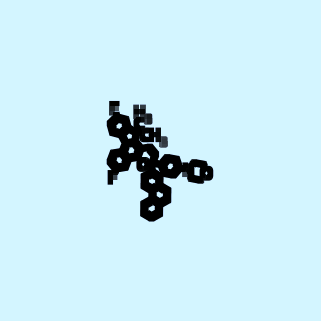 CC1(C)c2cc(F)ccc2-c2c1c1c(c3cc(F)ccc23)OC(c2ccc(N3CCOCC3)cc2)(c2ccc3c(ccc4ccccc43)c2)C=C1